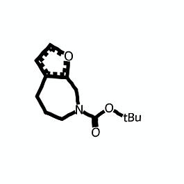 CC(C)(C)OC(=O)N1CCCc2ccoc2C1